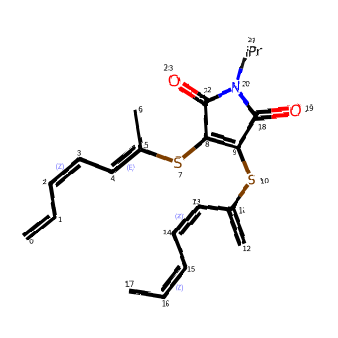 C=C/C=C\C=C(/C)SC1=C(SC(=C)/C=C\C=C/C)C(=O)N(C(C)C)C1=O